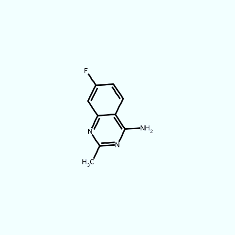 Cc1nc(N)c2ccc(F)cc2n1